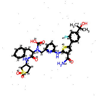 CC(C)(O)c1ccc(-c2cc(C(N)=O)c(Nc3cccc(CN(C(=O)O)C(Cc4ccccc4)C(=O)NC4CCS(=O)(=O)C4)n3)s2)c(F)c1